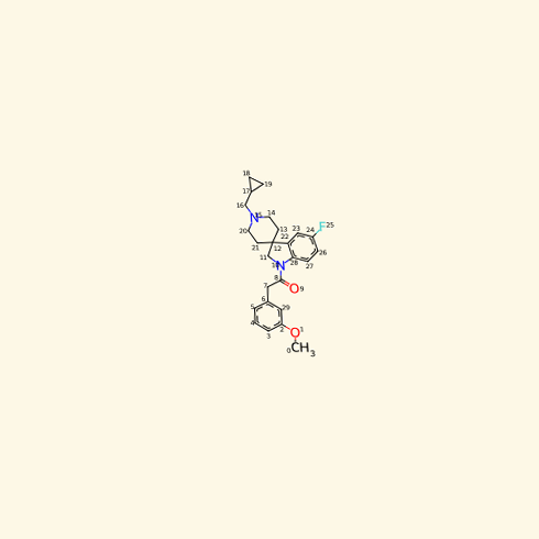 COc1cccc(CC(=O)N2CC3(CCN(CC4CC4)CC3)c3cc(F)ccc32)c1